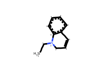 [SiH3]CN1CC=Cc2ccccc21